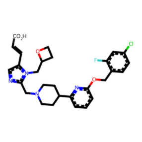 O=C(O)/C=C/c1cnc(CN2CCC(c3cccc(OCc4ccc(Cl)cc4F)n3)CC2)n1CC1CCO1